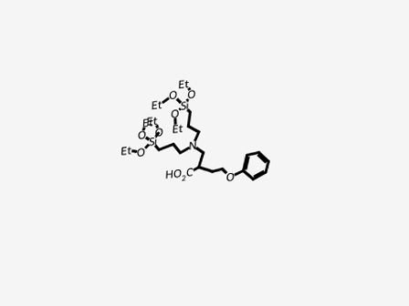 CCO[Si](CCCN(CCC[Si](OCC)(OCC)OCC)CC(CCOc1ccccc1)C(=O)O)(OCC)OCC